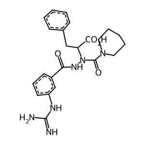 N=C(N)Nc1cccc(C(=O)NN(C(=O)N2CCCCC2)C(Cc2ccccc2)C(=O)O)c1